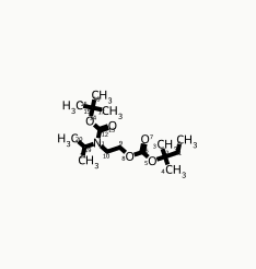 CCC(C)(C)OC(=O)OCCN(C(=O)OC(C)(C)C)C(C)C